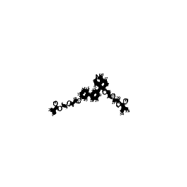 C=C(C)C(=O)OCCOCCOc1cccc(-c2cccc(-c3c(OCCOCCOC(=O)C(=C)C)ccc4cnccc34)c2)c1